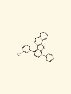 Clc1cccc(-c2ccc(-c3ccccc3)c3sc4c5ccccc5ccc4c23)c1